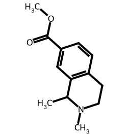 COC(=O)c1ccc2c(c1)C(C)N(C)CC2